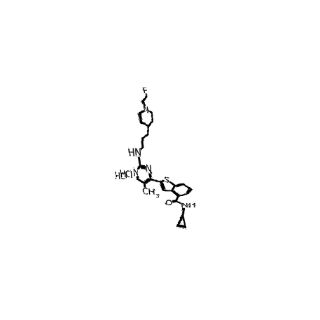 Cc1cnc(NCCCC2CCN(CCF)CC2)nc1-c1cc2c(C(=O)NC3CC3)cccc2s1.Cl.Cl